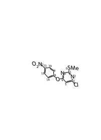 CSc1nc(Cl)cc(Oc2ccc([N+](=O)[O-])cc2)n1